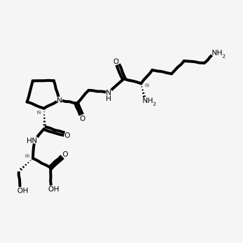 NCCCC[C@H](N)C(=O)NCC(=O)N1CCC[C@H]1C(=O)N[C@@H](CO)C(=O)O